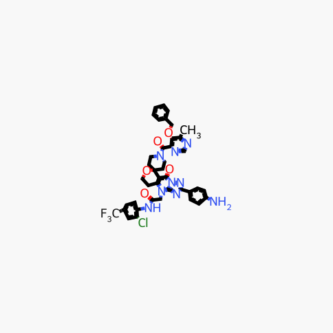 Cc1ncnc(C(=O)N2CCC3(CC2)OCCc2c3c(=O)n3nc(-c4ccc(N)cc4)nc3n2CC(=O)Nc2ccc(C(F)(F)F)cc2Cl)c1OCc1ccccc1